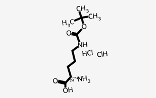 CC(C)(C)OC(=O)NCCC[C@H](N)C(=O)O.Cl.Cl